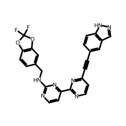 FC1(F)Oc2ccc(CNc3nccc(-c4nccc(C#Cc5ccc6[nH]ncc6c5)n4)n3)cc2O1